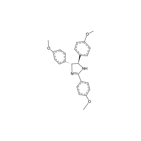 COc1ccc(C2=N[C@H](c3ccc(OC)cc3)[C@@H](c3ccc(OC)cc3)N2)cc1